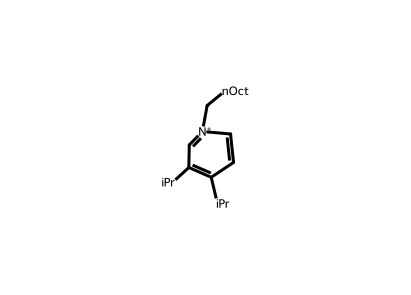 CCCCCCCCC[n+]1ccc(C(C)C)c(C(C)C)c1